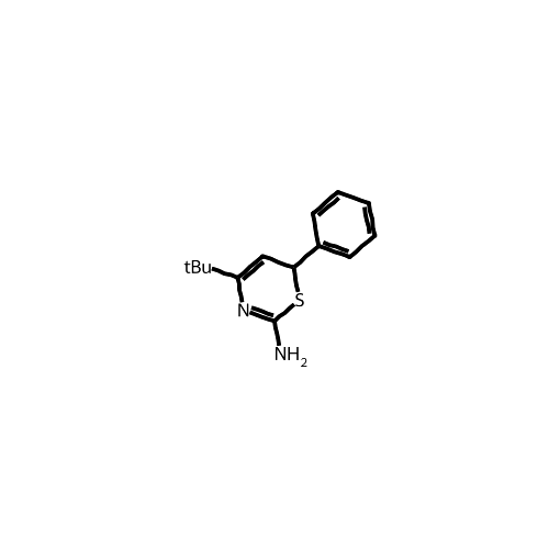 CC(C)(C)C1=CC(c2ccccc2)SC(N)=N1